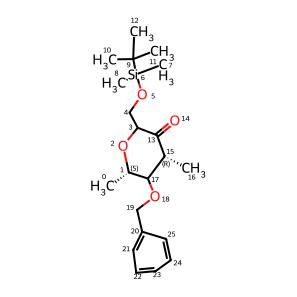 C[C@@H]1OC(CO[Si](C)(C)C(C)(C)C)C(=O)[C@H](C)C1OCc1ccccc1